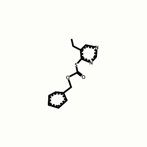 CCc1cncnc1SC(=O)OCc1ccccc1